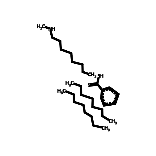 CCCCCCCC.CCCCCCCC.CCCCCCCCNC.S=C(S)c1ccccc1